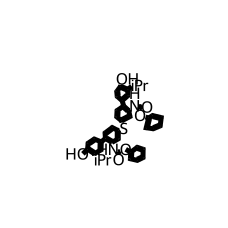 CC(C)c1cc(-c2ccc(Sc3ccc(-c4ccc(O)c(C(C)C)c4)c(NC(=O)Oc4ccccc4)c3)cc2NC(=O)Oc2ccccc2)ccc1O